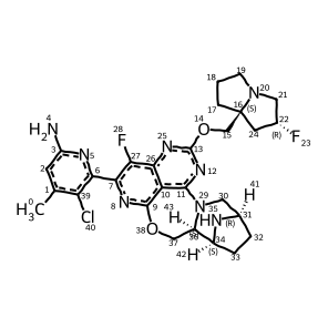 Cc1cc(N)nc(-c2nc3c4c(nc(OC[C@@]56CCCN5C[C@H](F)C6)nc4c2F)N2C[C@H]4CC[C@H](N4)[C@H]2CO3)c1Cl